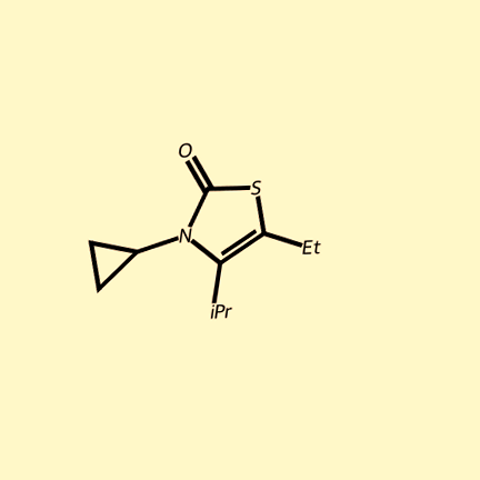 CCc1sc(=O)n(C2CC2)c1C(C)C